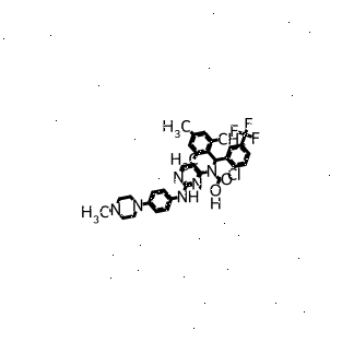 Cc1cc(C)c(C(c2cc(C(F)(F)F)ccc2Cl)N(C(=O)O)c2ccnc(Nc3ccc(N4CCN(C)CC4)cc3)n2)c(C)c1